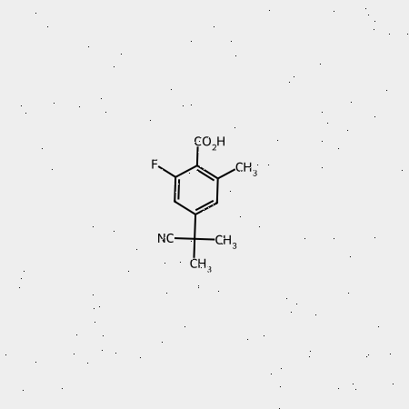 Cc1cc(C(C)(C)C#N)cc(F)c1C(=O)O